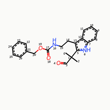 CC(C)(C=O)c1[nH]c2ccccc2c1CCNC(=O)OCc1ccccc1